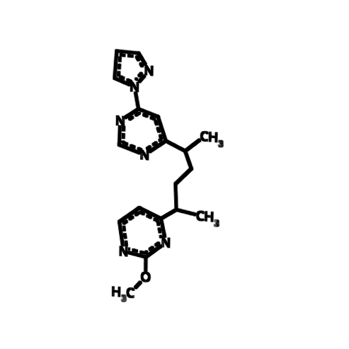 COc1nccc(C(C)CCC(C)c2cc(-n3cccn3)ncn2)n1